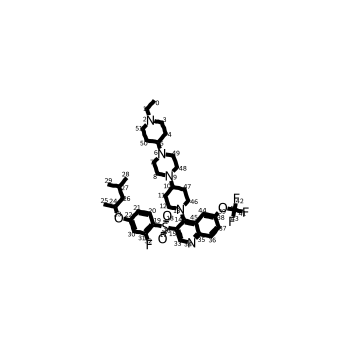 CCN1CCC(N2CCN(C3CCN(c4c(S(=O)(=O)c5ccc(OC(C)CC(C)C)cc5F)cnc5ccc(OC(F)(F)F)cc45)CC3)CC2)CC1